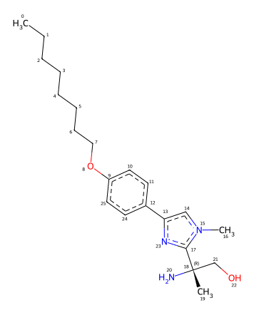 CCCCCCCCOc1ccc(-c2cn(C)c([C@@](C)(N)CO)n2)cc1